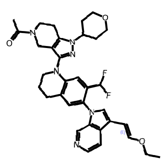 CCO/C=C/c1cn(-c2cc3c(cc2C(F)F)N(c2nn(C4CCOCC4)c4c2CN(C(C)=O)CC4)CCC3)c2cnccc12